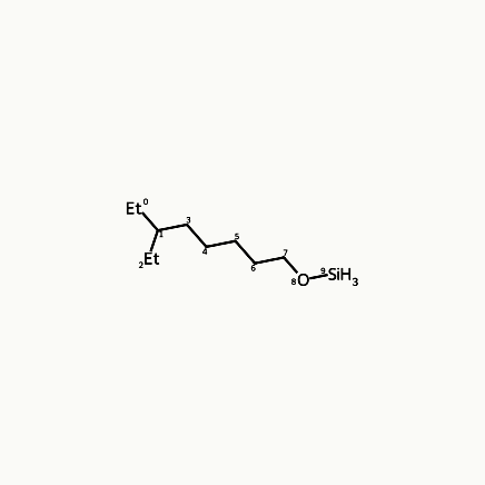 CCC(CC)CCCCCO[SiH3]